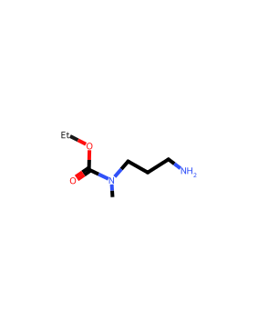 CCOC(=O)N(C)CCCN